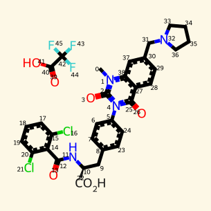 Cn1c(=O)n(-c2ccc(C[C@H](NC(=O)c3c(Cl)cccc3Cl)C(=O)O)cc2)c(=O)c2ccc(CN3CCCC3)cc21.O=C(O)C(F)(F)F